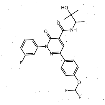 CC(NC(=O)c1cc(-c2ccc(OC(F)F)cc2)nn(-c2cccc(F)c2)c1=O)C(C)(C)O